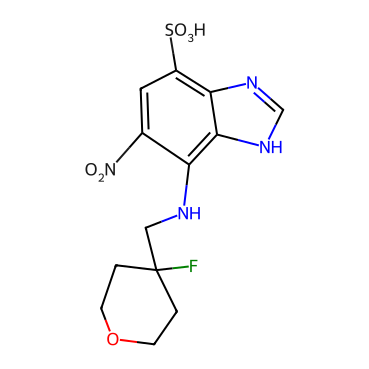 O=[N+]([O-])c1cc(S(=O)(=O)O)c2nc[nH]c2c1NCC1(F)CCOCC1